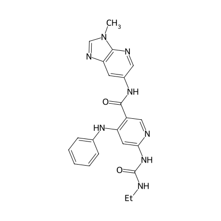 CCNC(=O)Nc1cc(Nc2ccccc2)c(C(=O)Nc2cnc3c(c2)ncn3C)cn1